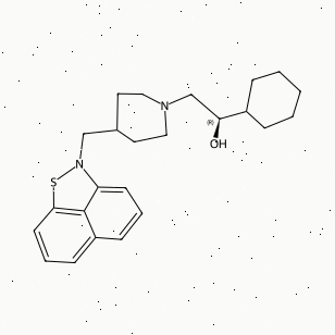 O[C@@H](CN1CCC(CN2Sc3cccc4cccc2c34)CC1)C1CCCCC1